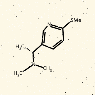 CSc1ccc([C@@H](C)N(C)C)cn1